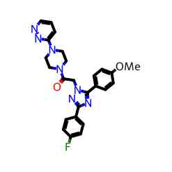 COc1ccc(-c2nc(-c3ccc(F)cc3)nn2CC(=O)N2CCN(c3cccnn3)CC2)cc1